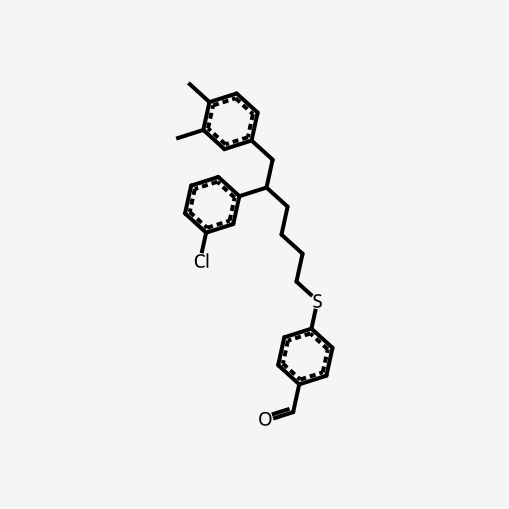 Cc1ccc(CC(CCCCSc2ccc(C=O)cc2)c2cccc(Cl)c2)cc1C